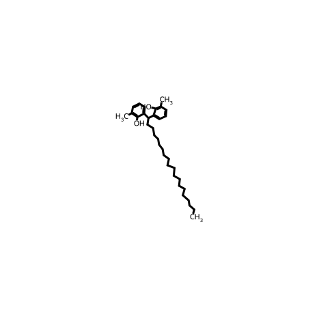 CCCCCCCCCCCCCCCCCCCC(c1cccc(C)c1O)c1cccc(C)c1O